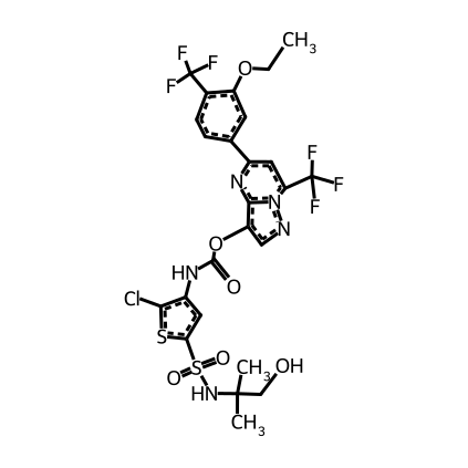 CCOc1cc(-c2cc(C(F)(F)F)n3ncc(OC(=O)Nc4cc(S(=O)(=O)NC(C)(C)CO)sc4Cl)c3n2)ccc1C(F)(F)F